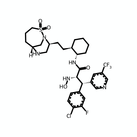 O=C(N[C@H]1CCCC[C@@H]1CC[C@H]1CN[C@@H]2CCCS(=O)(=O)N1C2)[C@@H](NO)[C@H](c1cncc(C(F)(F)F)c1)c1ccc(Cl)c(F)c1